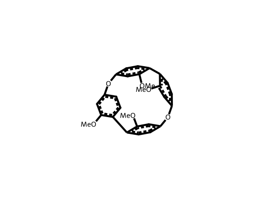 COc1cc2ccc1-c1ccc(cc1OC)Oc1ccc(c(OC)c1)-c1ccc(cc1OC)O2